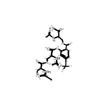 CC(=O)NC(CSC(=O)c1ccc(C(F)(F)F)cc1OC(=O)C(CSC(=O)C(CS)NC(C)=O)NC(C)=O)C(N)=O